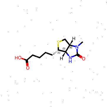 CN1C(=O)N[C@@H]2[C@H](CCCCC(=O)O)SC[C@@H]21